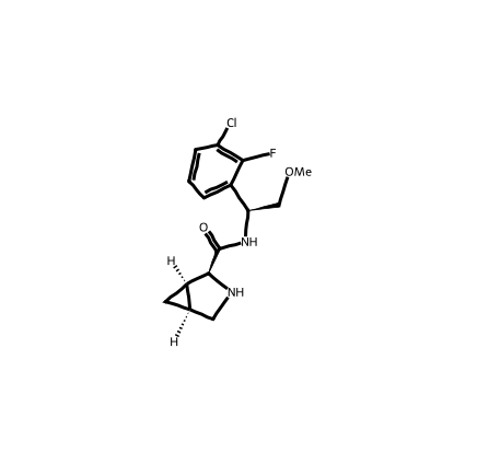 COC[C@@H](NC(=O)[C@H]1NC[C@H]2C[C@H]21)c1cccc(Cl)c1F